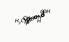 CC(C)Cc1ccc(COc2ccc(CNc3cccc(C(=O)O)c3)cc2)cc1C(F)(F)F